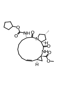 COC(=O)[C@@]12C[C@H]1/C=C\CCCCC[C@H](NC(=O)OC1CCCC1)C(=O)N1C[C@H](C)C[C@H]1C(=O)N2